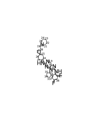 Fc1ccc(Nc2nc3cnc(N[C@H]4CC[C@H](OCCN5CCCCC5)CC4)nc3n2C2CCCC2)c(F)c1